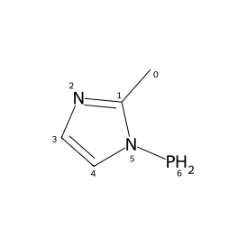 Cc1nccn1P